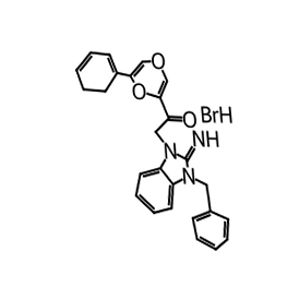 Br.N=c1n(CC(=O)C2=COC=C(C3=CC=CCC3)O2)c2ccccc2n1Cc1ccccc1